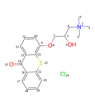 C[N+](C)(C)CC(O)COc1cccc2c(=O)c3ccccc3sc12.[Cl-]